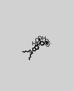 CCCCCN(CCCCC)C1Cc2ccc(Nc3ccc([N+](=O)[O-])cc3C(=O)O)cc2C1